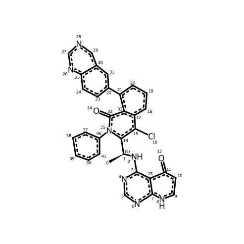 C[C@H](Nc1ncnc2[nH]ccc(=O)c12)c1c(Cl)c2cccc(-c3ccc4ncncc4c3)c2c(=O)n1-c1ccccc1